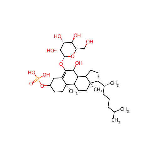 CC(C)CCC[C@@H](C)[C@H]1CCC2C3C(O)C(O[C@H]4O[C@H](CO)[C@H](O)[C@@H](O)[C@H]4O)=C4CC(OP(=O)(O)O)CC[C@]4(C)C3CC[C@@]21C